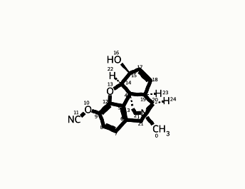 CN1CC[C@]23c4c5ccc(OC#N)c4O[C@H]2[C@@H](O)C=C[C@H]3[C@H]1C5